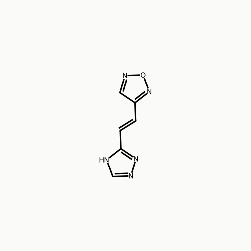 C(=Cc1nnc[nH]1)c1cnon1